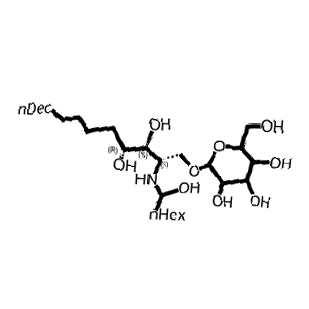 CCCCCCCCCCCCCC[C@@H](O)[C@@H](O)[C@H](COC1OC(CO)C(O)C(O)C1O)NC(O)CCCCCC